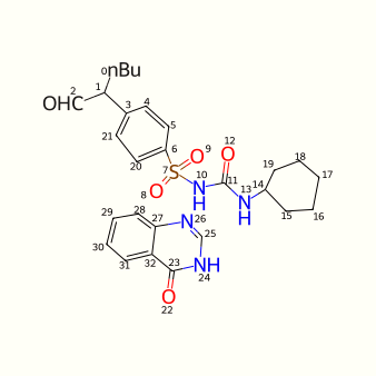 CCCCC(C=O)c1ccc(S(=O)(=O)NC(=O)NC2CCCCC2)cc1.O=c1[nH]cnc2ccccc12